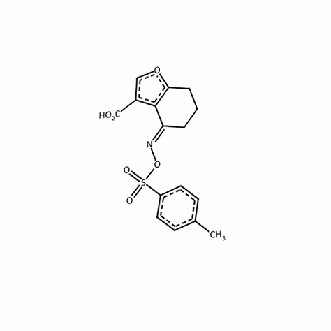 Cc1ccc(S(=O)(=O)ON=C2CCCc3occ(C(=O)O)c32)cc1